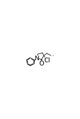 [CH2]CC1(Cl)CCN(c2ccccc2)C1=O